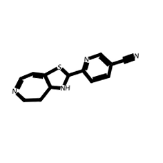 N#Cc1ccc(C2NC3CCN=CC=C3S2)nc1